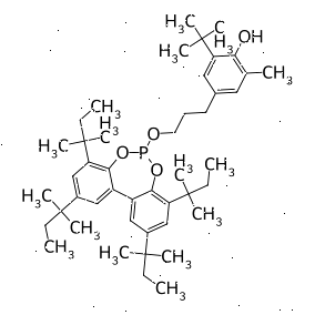 CCC(C)(C)c1cc(C(C)(C)CC)c2op(OCCCc3cc(C)c(O)c(C(C)(C)C)c3)oc3c(C(C)(C)CC)cc(C(C)(C)CC)cc3c2c1